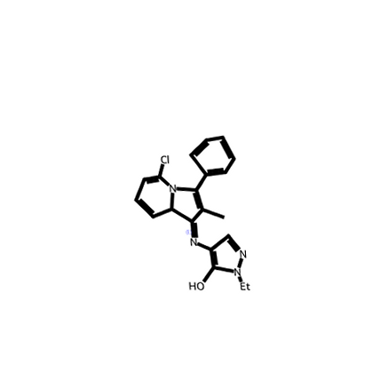 CCn1ncc(/N=C2\C(C)=C(c3ccccc3)N3C(Cl)=CC=CC23)c1O